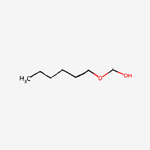 CCCCCCO[C]O